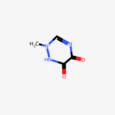 C[N+]1C=NC(=O)C(=O)N1